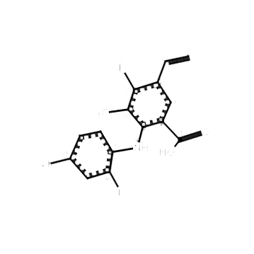 C=Cc1cc(C(=O)O)c(Nc2ccc(I)cc2F)c(F)c1F